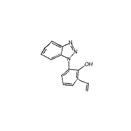 C=Cc1cccc(-n2nnc3ccccc32)c1O